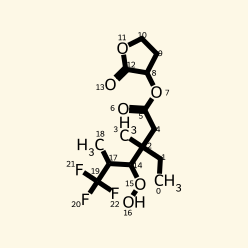 CCC(C)(CC(=O)OC1CCOC1=O)C(OO)C(C)C(F)(F)F